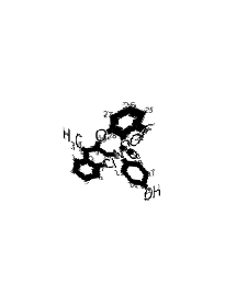 CC(c1ccccc1Cl)C1CN(C2CCC(O)CC2)S(=O)(=O)c2c(F)cccc2O1